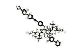 COC(=O)NC(C(=O)N[C@@H](Cc1ccc(C#Cc2cnc(N3CC4C[C@@H]3CN4C3COC3)nc2)cc1)[C@@H](O)CN(Cc1c(F)cc(-c2ncccn2)cc1F)NC(=O)[C@@H](NC(=O)OC)C(C)(C)C(F)(F)F)C(C)(C)C(F)(F)F